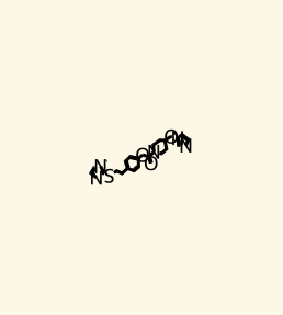 Cn1ccnc1SCCc1ccc(OC(=O)N2CCC(On3ccnc3)CC2)cc1